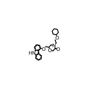 O=C1COC(COc2cccc3[nH]c4ccccc4c23)CN1CCOC1CCCCC1